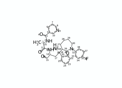 C[C@H](NC(=O)c1cccnc1)C(=O)NC(C=O)C[C@](N)(c1ccccc1)C1CCCCN(c2ccc(F)cc2)C1=O